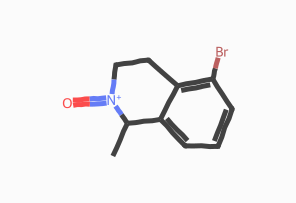 CC1c2cccc(Br)c2CC[N+]1=O